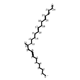 [CH2]CCCCCCC=CCC(C)CCCCCCCCCCCCC[CH2]